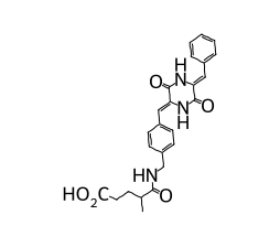 CC(CCC(=O)O)C(=O)NCc1ccc(/C=c2\[nH]c(=O)/c(=C/c3ccccc3)[nH]c2=O)cc1